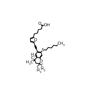 CCCCCCSc1cc2c(cc1C#Cc1ccc(CCCCC(=O)O)o1)C(C)(C)CC(C)(C)O2